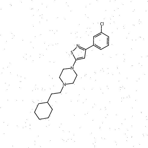 Clc1cccc(-c2cc(N3CCN(CCC4CCCCC4)CC3)sn2)c1